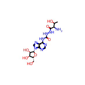 CC(O)C(N)C(=O)NNC(=O)Nc1ncnc2c1ncn2[C@@H]1O[C@H](CO)[C@@H](O)[C@H]1O